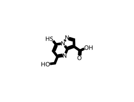 O=C(O)c1cnn2c(S)cc(CO)nc12